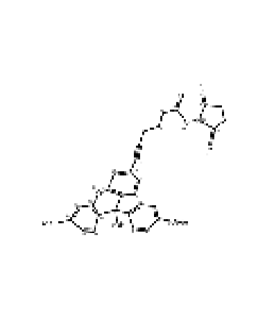 COc1ccc(C2(O)c3ccc(C#CCCCC(=O)ON4C(=O)CCC4=O)cc3Oc3cc(OC)ccc32)cc1